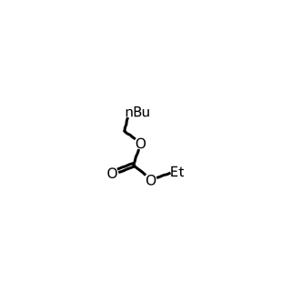 [CH2]COC(=O)OCCCCC